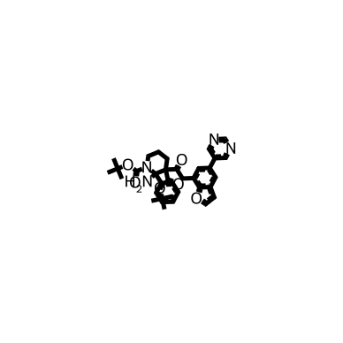 CC(C)(C)OC(=O)N1CCCC(C(=O)Cc2cc(-c3cncnc3)cc3ccoc23)(C(=O)OC(C)(C)C)C1(N)c1ccccc1